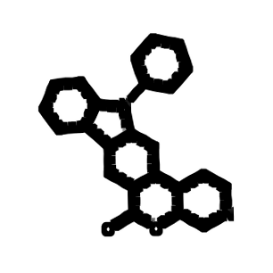 O=c1oc2cnccc2c2cc3c(cc12)c1ccccc1n3-c1ccccc1